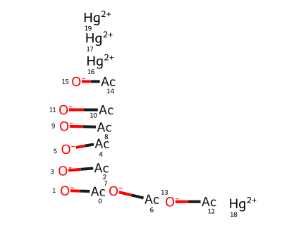 CC(=O)[O-].CC(=O)[O-].CC(=O)[O-].CC(=O)[O-].CC(=O)[O-].CC(=O)[O-].CC(=O)[O-].CC(=O)[O-].[Hg+2].[Hg+2].[Hg+2].[Hg+2]